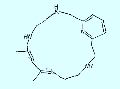 C/C1=C/C(C)=N/CCNCc2cccc(n2)CNCCN1